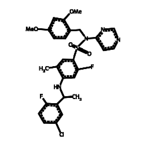 COc1ccc(CN(c2ccncn2)S(=O)(=O)c2cc(C)c(NC(C)c3cc(Cl)ccc3F)cc2F)c(OC)c1